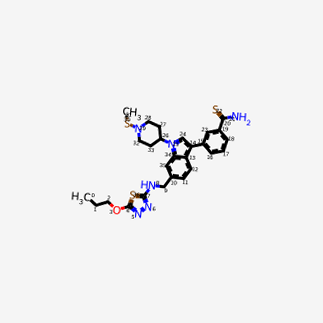 CCCOc1nnc(NCc2ccc3c(-c4cccc(C(N)=S)c4)cn(C4CCN(SC)CC4)c3c2)s1